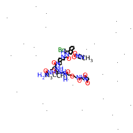 CC(C)[C@H](NCCNC(=O)CCOCCNC(=O)CCN1C(=O)C=CC1=O)C(=O)N[C@@H](CCCNC(N)=O)C(=O)N1CCc2c1ccc1[nH]c(C(=O)N3C[C@@H](CBr)c4c3cc(OC(=O)N3CCN(C)CC3)c3ccccc43)cc21